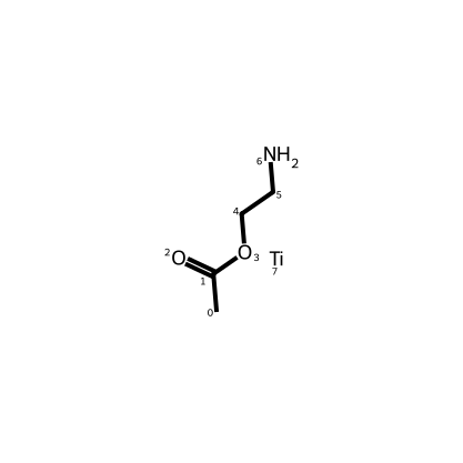 CC(=O)OCCN.[Ti]